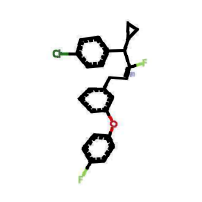 F/C(=C/Cc1cccc(Oc2ccc(F)cc2)c1)C(c1ccc(Cl)cc1)C1CC1